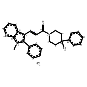 Cl.Cn1c(-c2ccccc2)c(/C=C/C(=O)N2CCC(O)(c3ccccc3)CC2)c2cccnc21